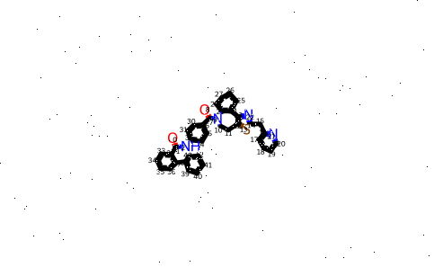 O=C(Nc1ccc(C(=O)N2CCc3sc(Cc4ccccn4)nc3-c3ccccc32)cc1)c1ccccc1-c1ccccc1